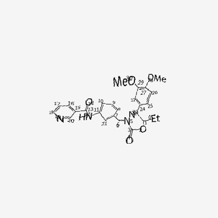 CCC1OC(=O)N(Cc2cccc(NC(=O)c3cccnc3)c2)N=C1c1ccc(OC)c(OC)c1